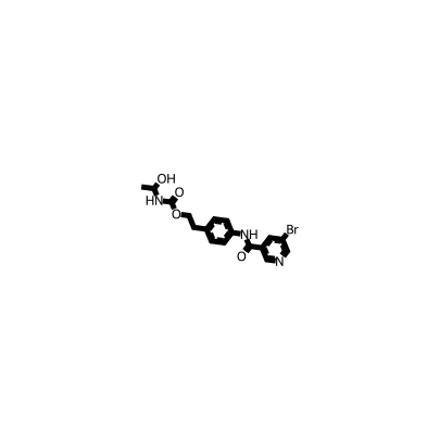 CC(O)NC(=O)OCCc1ccc(NC(=O)c2cncc(Br)c2)cc1